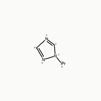 CC(C)n1cn[c]n1